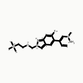 C=C/C(=C\N(C)N)c1cc2cn(COCC[Si](C)(C)C)nc2cc1F